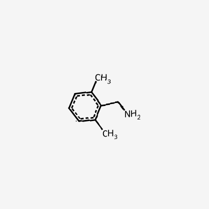 Cc1[c]ccc(C)c1CN